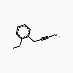 COc1ccccc1CC#CN